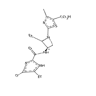 CCc1[nH]c(C(=O)N[C@@H]2CN(c3nc(C)c(C(=O)O)s3)C2CC)nc1Cl